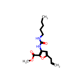 C=CCc1cc(NC(=O)NCCCCC)c(C(=O)OC)o1